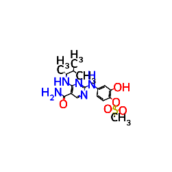 CC(C)[C@@H](C)Nc1nc(Nc2ccc(OS(C)(=O)=O)c(O)c2)ncc1C(N)=O